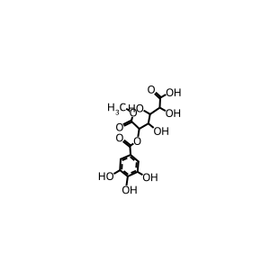 COC(=O)C(OC(=O)c1cc(O)c(O)c(O)c1)C(O)C(O)C(O)C(=O)O